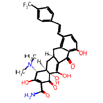 CN(C)[C@H]1C(O)=C(C(N)=O)C(=O)[C@]2(O)C(O)=C3C(=O)c4c(O)ccc(/C=C/c5ccc(C(F)(F)F)cc5)c4C[C@@H]3C[C@H]12